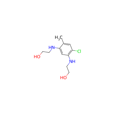 Cc1cc(Cl)c(NCCO)cc1NCCO